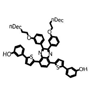 CCCCCCCCCCCCOc1cccc(-c2nc3c(-c4ccc(-c5cccc(O)c5)s4)ccc(-c4ccc(-c5cccc(O)c5)s4)c3nc2-c2cccc(OCCCCCCCCCCCC)c2)c1